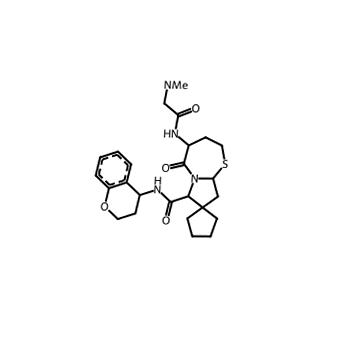 CNCC(=O)NC1CCSC2CC3(CCCC3)C(C(=O)NC3CCOc4ccccc43)N2C1=O